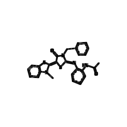 CC(=O)Nc1ccccc1N=C1SC(=C2Sc3ccccc3N2C)C(=O)N1Cc1ccccc1